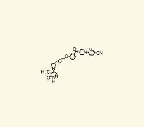 Cc1c(N2CC[C@@H](COCCOc3cccc(C(=O)N4CCN(c5ccc(C#N)cn5)CC4)c3)C2)cn[nH]c1=O